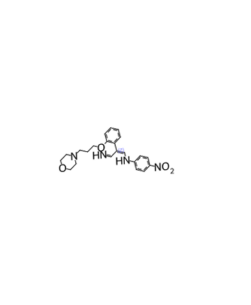 N=C/C(=C\Nc1ccc([N+](=O)[O-])cc1)c1ccccc1OCCCN1CCOCC1